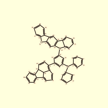 C1=CC2=C(c3cc(N(c4ccccc4)c4ccccc4)cc(-n4c5ccccc5c5cc6c(cc54)oc4ccccc46)c3)C=CC3c4ccccc4C(=C1)C23